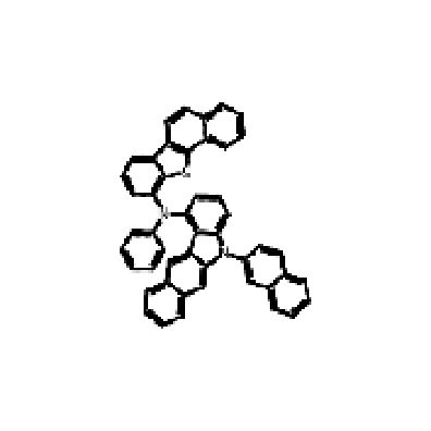 c1ccc(N(c2cccc3c2sc2c4ccccc4ccc32)c2cccc3c2c2cc4ccccc4cc2n3-c2ccc3ccccc3c2)cc1